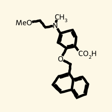 COCCN(C)c1ccc(C(=O)O)c(OCc2cccc3ccccc23)c1